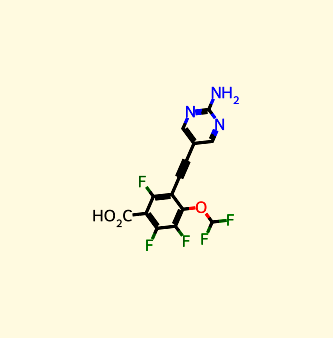 Nc1ncc(C#Cc2c(F)c(C(=O)O)c(F)c(F)c2OC(F)F)cn1